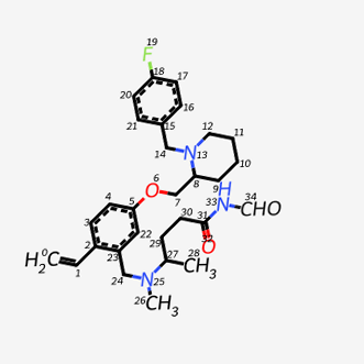 C=Cc1ccc(OCC2CCCCN2Cc2ccc(F)cc2)cc1CN(C)C(C)CCC(=O)NC=O